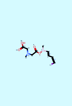 CB(/C=C/C=C\I)OC(=O)CN(C)CC(=O)O